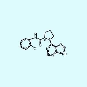 O=C(Nc1ccccc1Cl)[C@H]1CCCN1c1ncnc2[nH]cnc12